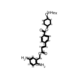 CCCCCCOC1CCC(OC(=O)c2ccc(/C=C/C(=O)OCc3cc(N)ccc3N)cc2)CC1